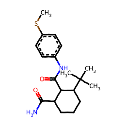 CSc1ccc(NC(=O)C2C(C(N)=O)CCCC2C(C)(C)C)cc1